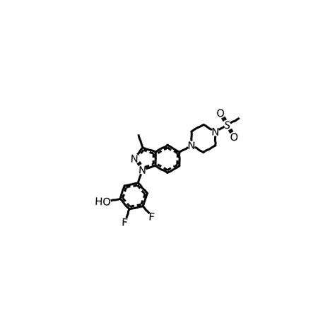 Cc1nn(-c2cc(O)c(F)c(F)c2)c2ccc(N3CCN(S(C)(=O)=O)CC3)cc12